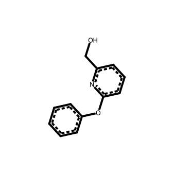 OCc1cccc(Oc2ccccc2)n1